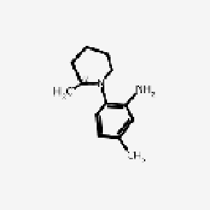 Cc1ccc(N2CCCC[C@@H]2C)c(N)c1